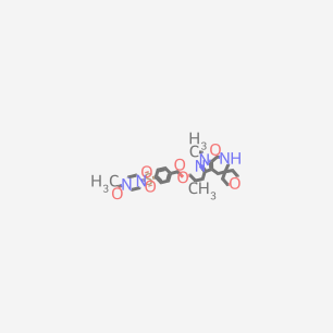 CCn1nc(CC(C)COC(=O)c2ccc(S(=O)(=O)N3CCN(C(C)=O)CC3)cc2)c2c1C(=O)NCC1(CCOCC1)C2